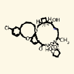 C[C@@H]1C/C=C/C(O)[C@@H]2CC[C@H]2CN2CCCCc3cc(Cl)ccc3COc3ccc(cc32)C(=O)NS(=O)(=O)N1C[C@@H]1CCCO1